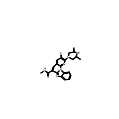 CNC(=O)c1cc2cc(F)c(N3CC(C)NC(C)C3)nc2n2c1nc1ccccc12